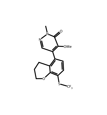 COc1c(-c2ccc(SC(F)(F)F)c3c2CCCO3)cnn(C)c1=O